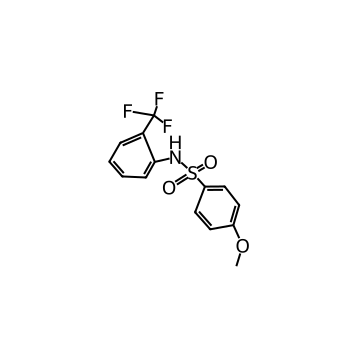 COc1ccc(S(=O)(=O)Nc2ccccc2C(F)(F)F)cc1